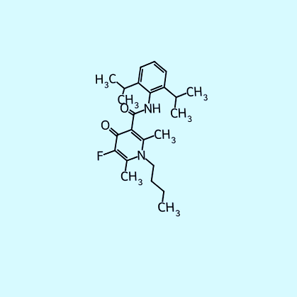 CCCCn1c(C)c(F)c(=O)c(C(=O)Nc2c(C(C)C)cccc2C(C)C)c1C